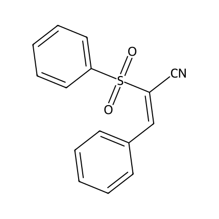 N#C/C(=C/c1ccccc1)S(=O)(=O)c1ccccc1